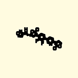 O=C1OCCN1c1ccc(-c2ccc(N3C[C@H](CNc4ccon4)OC3=O)c(F)c2F)cn1